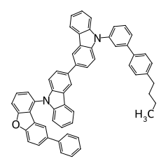 CCCCc1ccc(-c2cccc(-n3c4ccccc4c4cc(-c5ccc6c(c5)c5ccccc5n6-c5cccc6oc7ccc(-c8ccccc8)cc7c56)ccc43)c2)cc1